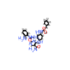 NC(=O)c1cnc(ON(N)c2ccccc2N)nc1N[C@H]1CC[C@@H](NC(=O)OCc2ccccc2)CC1